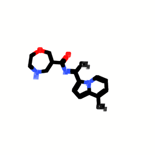 C/C(=N\C(=O)C1CNCCOC1)c1ccc2c(C)cccn12